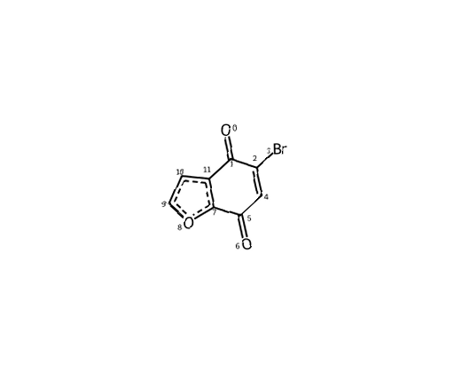 O=C1C(Br)=CC(=O)c2occc21